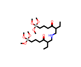 CCC(CNCC(CC)C(=O)CCC[Si](OC)(OC)OC)C(=O)CCC[Si](OC)(OC)OC